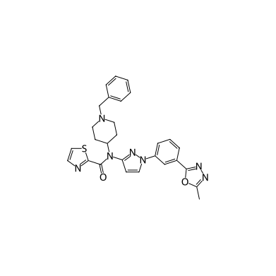 Cc1nnc(-c2cccc(-n3ccc(N(C(=O)c4nccs4)C4CCN(Cc5ccccc5)CC4)n3)c2)o1